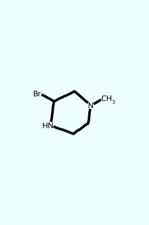 CN1C[CH]NC(Br)C1